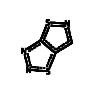 c1nsc2nnsc12